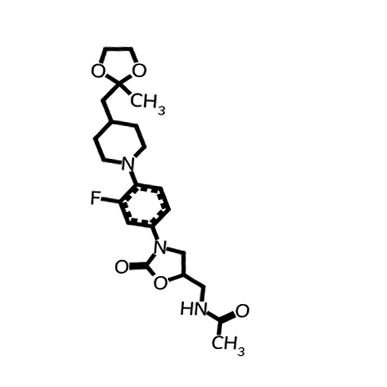 CC(=O)NCC1CN(c2ccc(N3CCC(CC4(C)OCCO4)CC3)c(F)c2)C(=O)O1